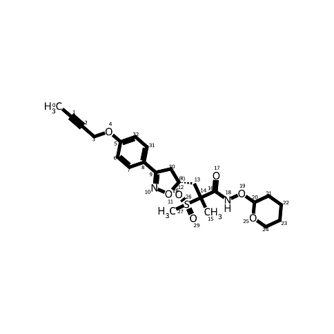 CC#CCOc1ccc(C2=NO[C@@H](CC(C)(C(=O)NOC3CCCCO3)S(C)(=O)=O)C2)cc1